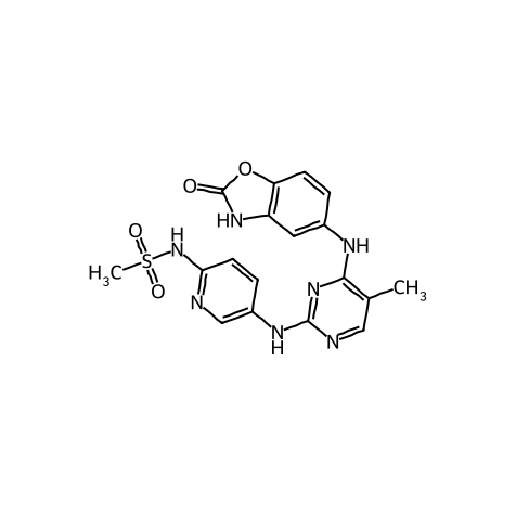 Cc1cnc(Nc2ccc(NS(C)(=O)=O)nc2)nc1Nc1ccc2oc(=O)[nH]c2c1